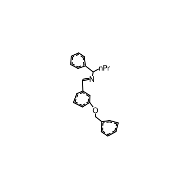 CCCC(N=Cc1cccc(OCc2ccccc2)c1)c1ccccc1